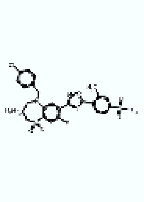 Cc1cc(S(C)(=O)=O)ccc1-c1nc(-c2cc3c(cc2F)S(=O)(=O)C[C@H](N)CN3Cc2ccc(Cl)cc2)no1